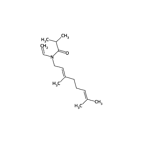 C=CN(C/C=C(\C)CCC=C(C)C)C(=O)C(C)C